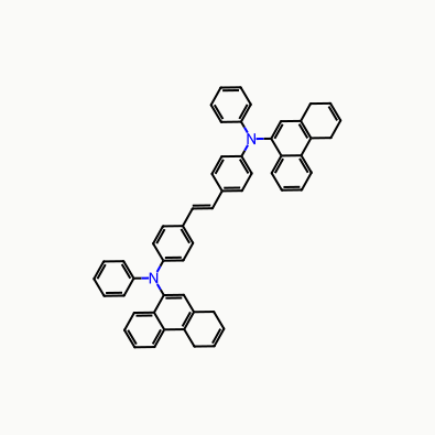 C1=CCc2c(cc(N(c3ccccc3)c3ccc(C=Cc4ccc(N(c5ccccc5)c5cc6c(c7ccccc57)CC=CC6)cc4)cc3)c3ccccc23)C1